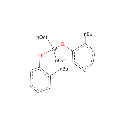 CCCCCCC[CH2][Sn]([CH2]CCCCCCC)([O]c1ccccc1CCCC)[O]c1ccccc1CCCC